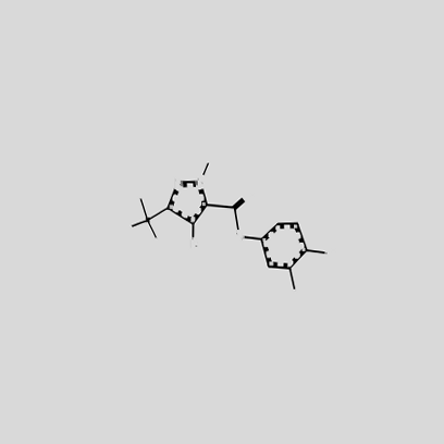 CCOC(=O)c1cc(NC(=O)c2c(Br)c(C(F)(F)C(F)(F)F)nn2C)ccc1Cl